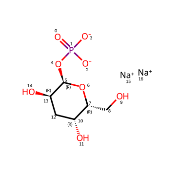 O=P([O-])([O-])O[C@H]1O[C@H](CO)[C@H](O)C[C@H]1O.[Na+].[Na+]